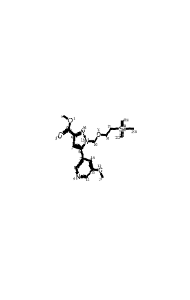 COC(=O)c1cc(-c2cncc(OC)c2)n(COCC[Si](C)(C)C)n1